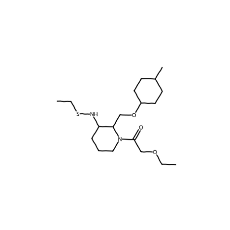 CCOCC(=O)N1CCCC(NSCC)C1COC1CCC(C)CC1